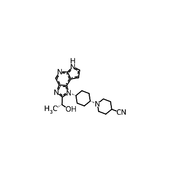 C[C@@H](O)c1nc2cnc3[nH]ccc3c2n1[C@H]1CC[C@@H](N2CCC(C#N)CC2)CC1